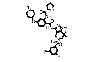 CN1CCC(Oc2ccc(C(=O)Nc3n[nH]c4c3CN(S(=O)(=O)c3cc(F)cc(F)c3)CC4(C)C)c(NC(=O)[C@@H]3CCCO3)c2)CC1